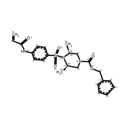 C=CC(=O)Nc1ccc(S(=O)(=O)N2[C@H](C)CN(C(=O)OCc3ccccc3)C[C@@H]2C)cc1